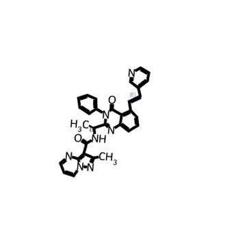 Cc1nn2cccnc2c1C(=O)N[C@@H](C)c1nc2cccc(/C=C/c3cccnc3)c2c(=O)n1-c1ccccc1